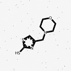 Sc1nc(CN2CCOCC2)cs1